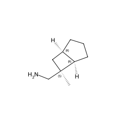 C[C@]1(CN)C[C@H]2CCC[C@H]21